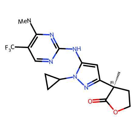 CNc1nc(Nc2cc([C@@]3(C)CCOC3=O)nn2C2CC2)ncc1C(F)(F)F